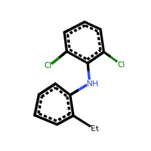 CCc1ccccc1Nc1c(Cl)cccc1Cl